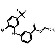 CCOC(=O)c1cccc(Nc2cc(C(F)(F)F)ccc2N)c1